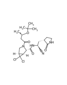 C[C@H](CC(=O)N1C[C@H]2[C@@H]([C@H]1C(=O)N[C@H](C#N)C[C@@H]1CCNC1=O)C2(Cl)Cl)OC(C)(C)C